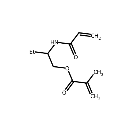 C=CC(=O)NC(CC)COC(=O)C(=C)C